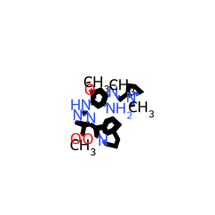 COC(=O)c1cnc(Nc2cc(N)c(N(C)CC3CCCN3C)cc2OC)nc1-c1cn2c3c(cccc13)CCC2